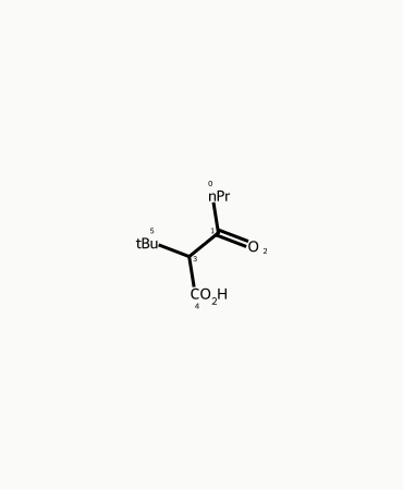 CCCC(=O)C(C(=O)O)C(C)(C)C